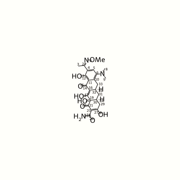 CO/N=C(/C)c1cc(N(C)C)c2c(c1O)C(=O)C1=C(O)[C@]3(O)C(=O)C(C(N)=O)=C(O)C[C@@H]3C[C@@H]1C2